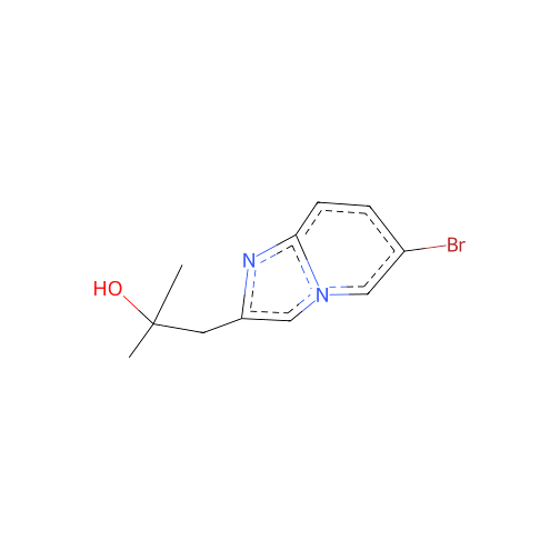 CC(C)(O)Cc1cn2cc(Br)ccc2n1